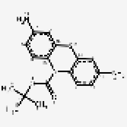 CC(C)(C)OC(=O)N1c2ccc(N)cc2Sc2cc(N)ccc21